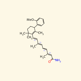 COc1ccccc1C1CCC(C)(C)C(/C=C/C(C)=C/C=C/C(C)=C/C(N)=O)=C1C